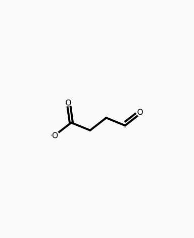 [O]C(=O)CC[C]=O